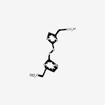 O=C(O)Cc1cnc(SSc2ncc(CC(=O)O)s2)s1